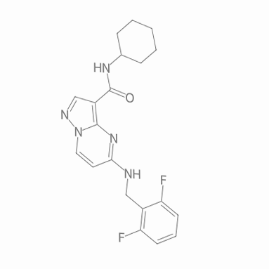 O=C(NC1CCCCC1)c1cnn2ccc(NCc3c(F)cccc3F)nc12